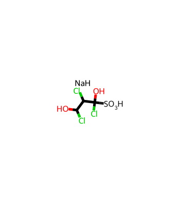 O=S(=O)(O)C(O)(Cl)C(Cl)C(O)Cl.[NaH]